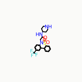 O=C(CN1c2ccc(C(F)(F)F)cc2-c2ccccc2S1(=O)=O)NC1CCNCC1